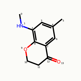 CNc1cc(C)cc2c1OCCC2=O